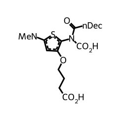 CCCCCCCCCCC(=O)N(C(=O)O)c1sc(NC)cc1OCCCC(=O)O